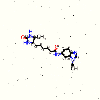 C#Cn1cnc2ccc(NC(=O)CCCCC[C@H]3NC(=O)N[C@H]3C)cc21